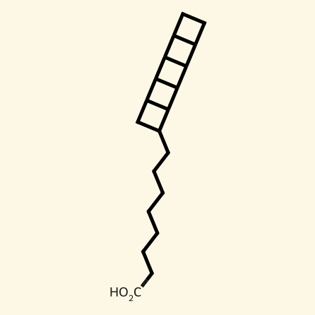 O=C(O)CCCCCCCC1CC2C1C1C3C4CCC4C3C21